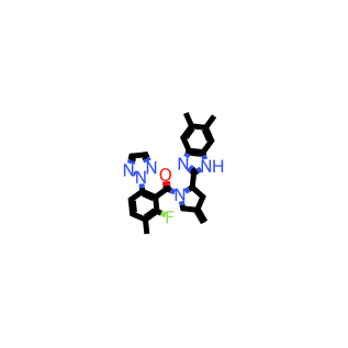 C=C1CC(c2nc3cc(C)c(C)cc3[nH]2)N(C(=O)c2c(-n3nccn3)ccc(C)c2F)C1